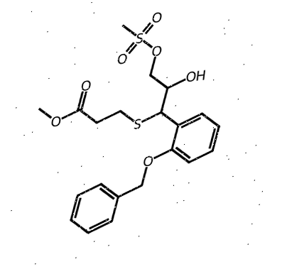 COC(=O)CCSC(c1ccccc1OCc1ccccc1)C(O)COS(C)(=O)=O